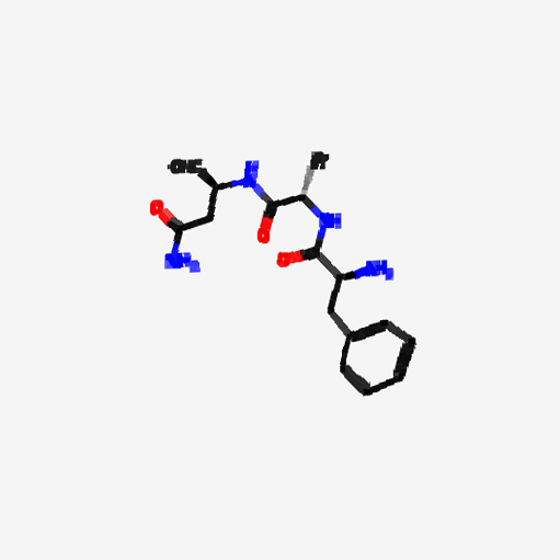 CC(C)[C@H](NC(=O)[C@@H](N)Cc1ccccc1)C(=O)N[C@H]([C]=O)CC(N)=O